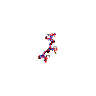 Cc1cccc2cc(C3C[C@@H](COc4nc5c(c(N6CCN(C(O)/C=C/CCl)[C@@H](CC#N)C6)n4)CCN(c4ccc(C6C[C@@H](COc7nc8c(c(N9CCN(C(=O)C%10=CC(=O)CC%10)[C@@H](CC#N)C9)n7)CCN(c7cccc9cccc(C)c79)C8)N(C)C6)c6cccc(C)c46)C5)N(C)C3)cc(N3CCc4c(nc(OC[C@@H]5CCCN5C)nc4N4CCN(C(=O)/C=C/C(=O)N(C)C)[C@@H](CC#N)C4)C3)c12